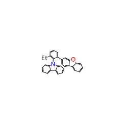 CCc1cccc(-c2ccc3c(c2)oc2ccccc23)c1-n1c2ccccc2c2ccccc21